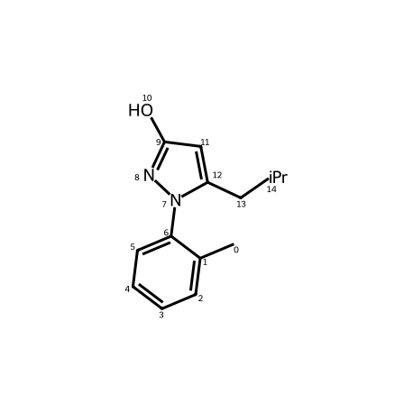 Cc1ccccc1-n1nc(O)cc1CC(C)C